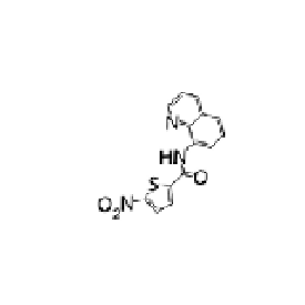 O=C(Nc1cccc2cccnc12)c1ccc([N+](=O)[O-])s1